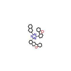 c1ccc2cc(-c3nc(-c4cccc5cc6oc7ccccc7c6cc45)nc(-c4cccc5oc6ccccc6c45)n3)ccc2c1